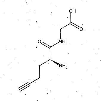 C#CCC[C@H](N)C(=O)NCC(=O)O